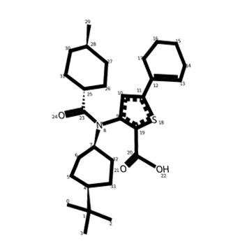 CC(C)(C)[C@H]1CC[C@@H](N(c2cc(C3=CCCCC3)sc2C(=O)O)C(=O)[C@H]2CC[C@H](C)CC2)CC1